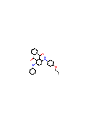 CCCOc1ccc(Nc2ccc(Nc3ccccc3)c3c2C(=O)c2ccccc2C3=O)cc1